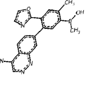 CB(O)c1cc(-c2ccc3c(N)cnnc3c2)c(-c2ncco2)cc1C